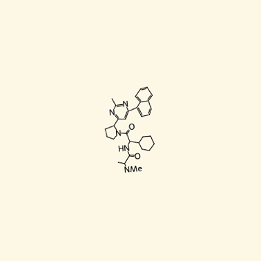 CNC(C)C(=O)NC(C(=O)N1CCCC1c1cc(-c2cccc3ccccc23)nc(C)n1)C1CCCCC1